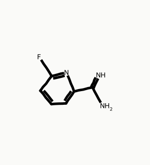 N=C(N)c1cccc(F)n1